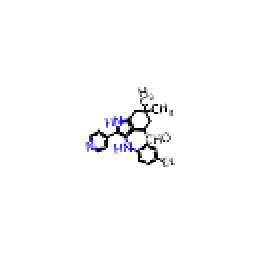 CCc1ccc(Nc2c(-c3ccncc3)[nH]c3c2C(C=O)CC(C)(C)C3)cc1